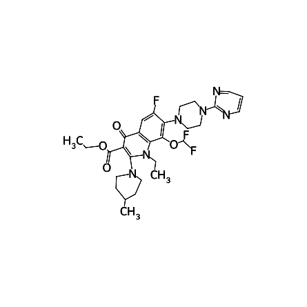 CCOC(=O)c1c(N2CCC(C)CC2)n(CC)c2c(OC(F)F)c(N3CCN(c4ncccn4)CC3)c(F)cc2c1=O